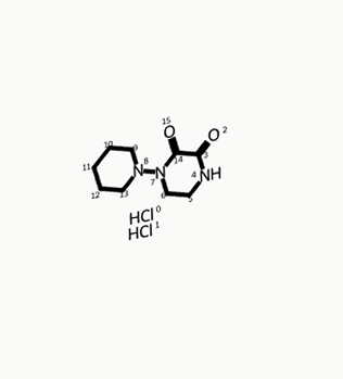 Cl.Cl.O=C1NCCN(N2CCCCC2)C1=O